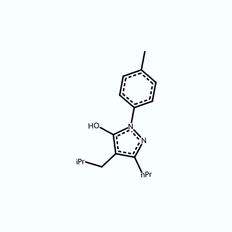 CCCc1nn(-c2ccc(C)cc2)c(O)c1CC(C)C